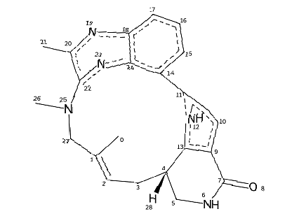 C/C1=C\C[C@H]2CNC(=O)c3cc([nH]c32)-c2cccc3nc(C)c(nc23)N(C)C1